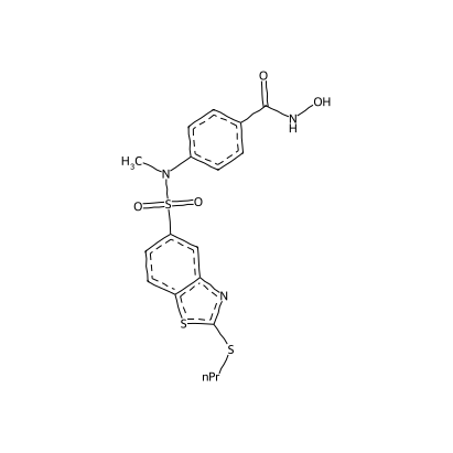 CCCSc1nc2cc(S(=O)(=O)N(C)c3ccc(C(=O)NO)cc3)ccc2s1